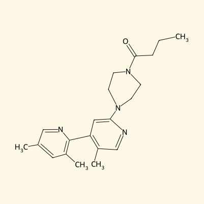 CCCC(=O)N1CCN(c2cc(-c3ncc(C)cc3C)c(C)cn2)CC1